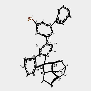 Brc1cc(-c2ccccc2)cc(-c2ccc3c(c2)-c2ccccc2C32C3CC4CC5CC2C3(C4)C5)c1